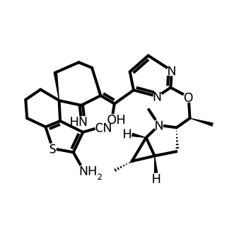 C[C@H]1[C@H]2C[C@@H]([C@H](C)Oc3nccc(/C(O)=C4\CCC[C@@]5(CCCc6sc(N)c(C#N)c65)C4=N)n3)N(C)[C@@H]12